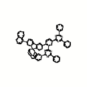 c1ccc(-c2nc(-c3ccccc3)nc(-c3ccc(-c4ccc5c(c4)-c4ccc(-c6cccc7ccccc67)cc4C54C5CC6CC(C5)CC4C6)c(-c4nc(-c5ccccc5)nc(-c5ccccc5)n4)c3)n2)cc1